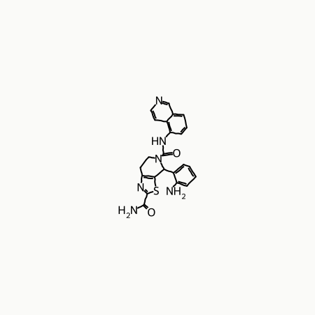 NC(=O)c1nc2c(s1)C(c1ccccc1N)N(C(=O)Nc1cccc3cnccc13)CC2